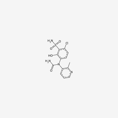 Cc1ncccc1N(C(N)=O)c1ccc(Cl)c(S(N)(=O)=O)c1O